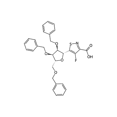 O=C(O)c1nsc([C@@H]2O[C@H](COCc3ccccc3)[C@@H](OCc3ccccc3)[C@H]2OCc2ccccc2)c1F